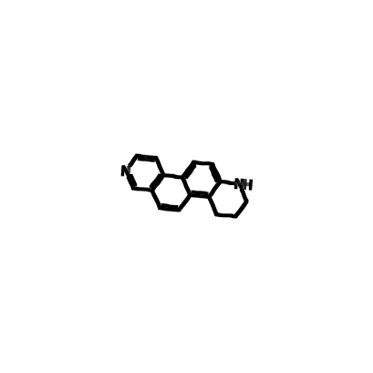 c1cc2c(ccc3c4c(ccc32)NCCC4)cn1